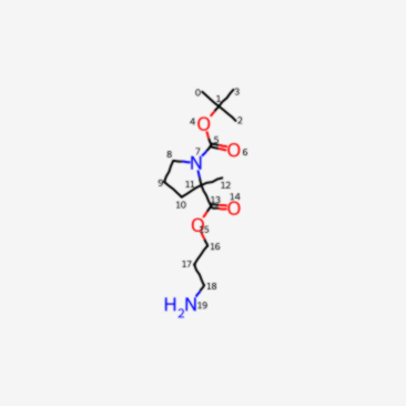 CC(C)(C)OC(=O)N1CCCC1(C)C(=O)OCCCN